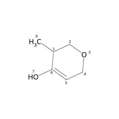 CC1COCC=C1O